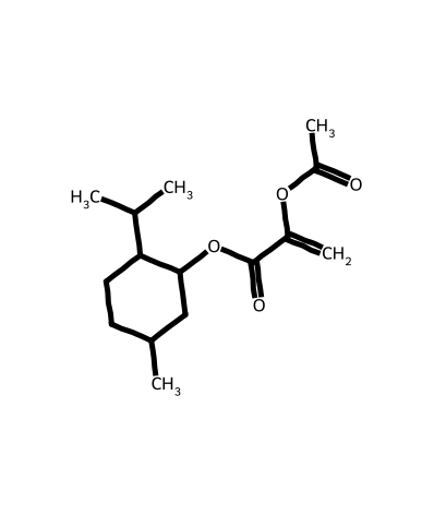 C=C(OC(C)=O)C(=O)OC1CC(C)CCC1C(C)C